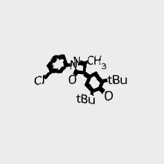 CC1=NN(c2cccc(Cl)c2)C(=O)C1=C1C=C(C(C)(C)C)C(=O)C(C(C)(C)C)=C1